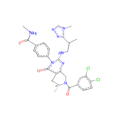 CNC(=O)c1ccc(-n2c(NCC(C)c3nncn3C)nc3c(c2=O)C[C@@H](C)N(C(=O)c2ccc(Cl)c(Cl)c2)C3)cc1